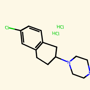 Cl.Cl.Clc1ccc2c(c1)CCC(N1CCNCC1)C2